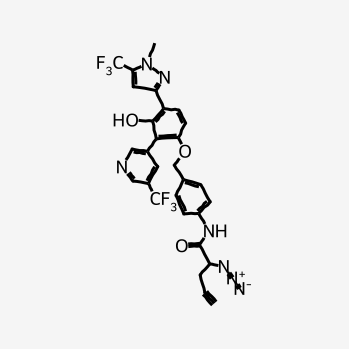 C#CCC(N=[N+]=[N-])C(=O)Nc1ccc(COc2ccc(-c3cc(C(F)(F)F)n(C)n3)c(O)c2-c2cncc(C(F)(F)F)c2)cc1